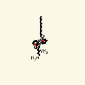 CCCCCCCCCCCC[Si](OC)(OC)O[Si](O[Si](CCC(N)CCN)(OC)OC)(c1ccccc1)c1ccccc1